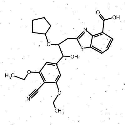 CCOc1cc(C(O)C(Cc2nc3c(C(=O)O)cccc3s2)OC2CCCC2)cc(OCC)c1C#N